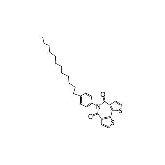 CCCCCCCCCCCCc1ccc(-n2c(=O)c3ccsc3c3sccc3c2=O)cc1